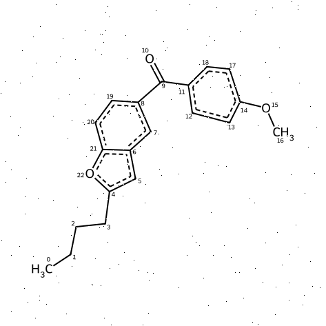 CCCCc1cc2cc(C(=O)c3ccc(OC)cc3)ccc2o1